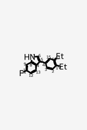 CCc1ccc(-c2c[nH]c3cc(F)ccc23)cc1CC